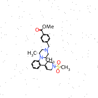 COC(=O)c1ccc(CN2C[C@@H](C)N(c3ccccc3C3=CCN(S(C)(=O)=O)CC3)[C@@H](C)C2)cc1